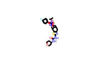 CC(C)OC(=O)N1CC2Cc3nc(NC(=O)NC4CCOCC4)sc3C(C1)C2c1nc(-c2ccc(F)cc2)no1